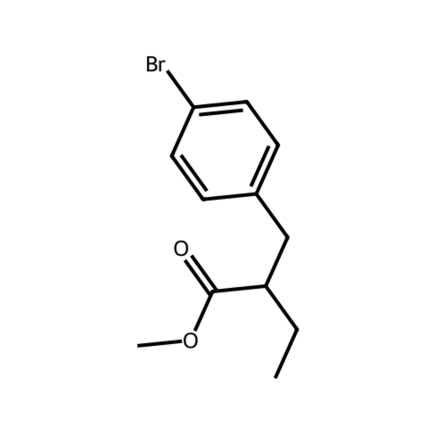 CCC(Cc1ccc(Br)cc1)C(=O)OC